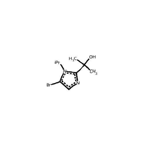 CC(C)n1c(Br)cnc1C(C)(C)O